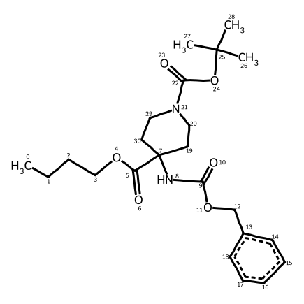 CCCCOC(=O)C1(NC(=O)OCc2ccccc2)CCN(C(=O)OC(C)(C)C)CC1